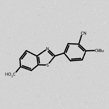 CC(C)COc1ccc(-c2nc3ccc(C(=O)O)cc3s2)cc1C#N